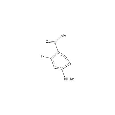 CCCC(=O)c1ccc(NC(C)=O)cc1F